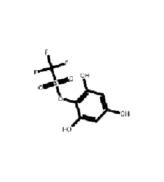 O=S(=O)(Oc1c(O)cc(O)cc1O)C(F)(F)F